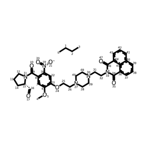 CCCC.COc1cc(C(=O)N2CCC[C@H]2C=O)c([N+](=O)[O-])cc1OCCN1CCN(CCN2C(=O)c3cccc4cccc(c34)C2=O)CC1